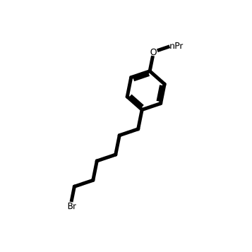 CCCOc1ccc(CCCCCCBr)cc1